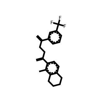 C=C(CCC(=C)c1ccc2c(c1C)CCCC2)c1cccc(C(F)(F)F)c1